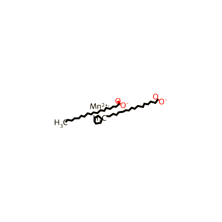 C1CCCCC1.CCCCCCCCCCCCCCCCCC(=O)[O-].CCCCCCCCCCCCCCCCCC(=O)[O-].[Mn+2]